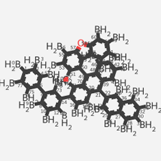 Bc1c(B)c(B)c(-c2c(B)c(B)c(B)c(-c3c(B)c(B)c4c(-c5c(B)c(B)c6c(B)c(B)c(B)c(B)c6c5B)c5c(B)c(B)c(B)c(B)c5c(-c5c(C)c(B)c(B)c6oc7c(B)c(B)c(B)c(B)c7c56)c4c3C)c2B)c(B)c1B